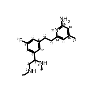 CNCC(NC)c1cc(F)cc(CCc2cc(C)cc(N)n2)c1